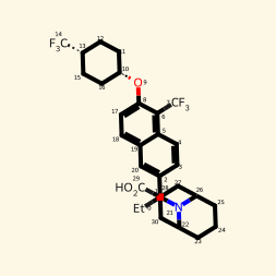 CCC(c1ccc2c(C(F)(F)F)c(O[C@H]3CC[C@@H](C(F)(F)F)CC3)ccc2c1)N1C2CCCC1CC(C(=O)O)C2